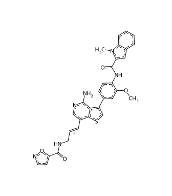 COc1cc(-c2csc3c(/C=C/CNC(=O)c4ccno4)cnc(N)c23)ccc1NC(=O)c1cc2ccccc2n1C